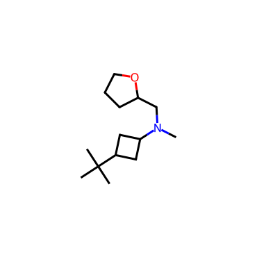 CN(CC1CCCO1)C1CC(C(C)(C)C)C1